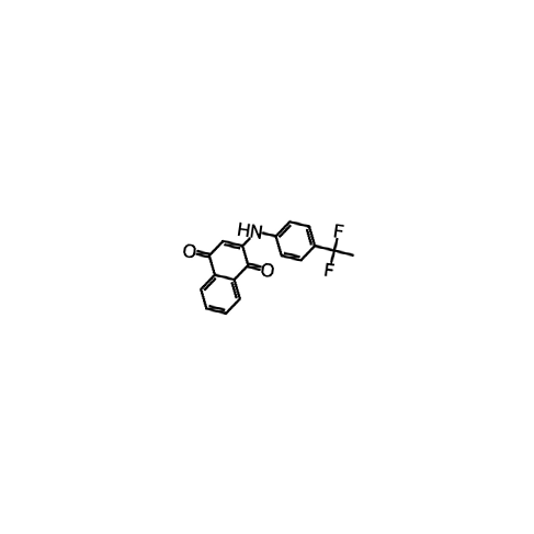 CC(F)(F)c1ccc(NC2=CC(=O)c3ccccc3C2=O)cc1